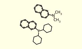 CN(C)c1[c]c2ccccc2cc1.[c]1c(P(C2CCCCC2)C2CCCCC2)ccc2ccccc12